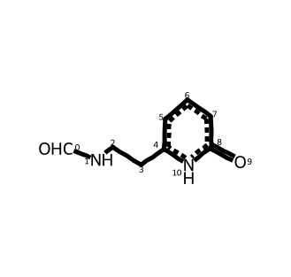 O=CNCCc1cccc(=O)[nH]1